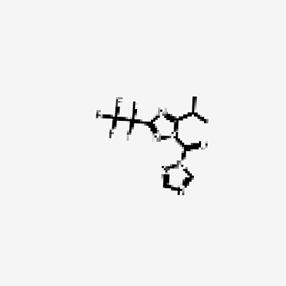 CC(C)c1nc(C(F)(F)C(F)(F)F)nn1C(=O)n1cncn1